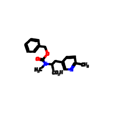 Cc1ccc(CC(C(=O)O)N(C)C(=O)OCc2ccccc2)cn1